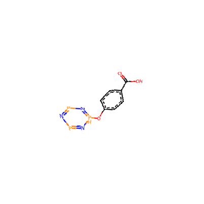 O=C(O)c1ccc(O[PH]2=NP=NP=N2)cc1